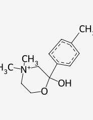 Cc1ccc(C2(O)C[N+](C)(C)CCO2)cc1